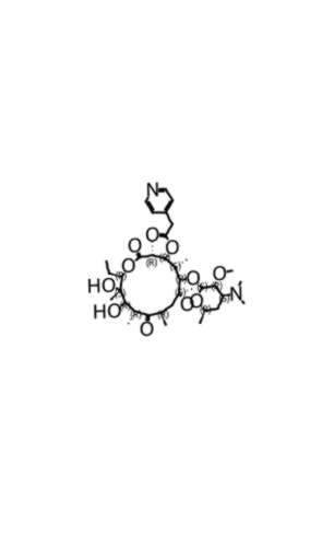 CC[C@H]1OC(=O)[C@H](C)[C@@H](OC(=O)Cc2ccncc2)[C@H](C)[C@@H](O[C@@H]2O[C@H](C)C[C@H](N(C)C)[C@H]2OC)[C@@](C)(OC)C[C@@H](C)C(=O)[C@H](C)[C@@H](O)[C@]1(C)O